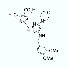 COc1ccc(CNc2cc(N3CCOCC3)nc(Nc3nc(C)c(C(=O)O)s3)n2)cc1OC